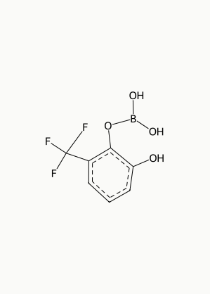 OB(O)Oc1c(O)cccc1C(F)(F)F